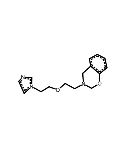 c1ccc2c(c1)CN(CCOCCn1ccnc1)CO2